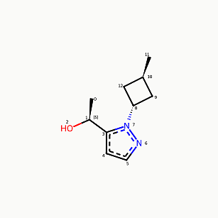 C[C@H](O)c1ccnn1[C@H]1C[C@H](C)C1